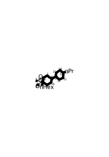 CCCCCCC1(S(C)(=O)=O)CCC(C2CCC(CCC)CC2)CC1